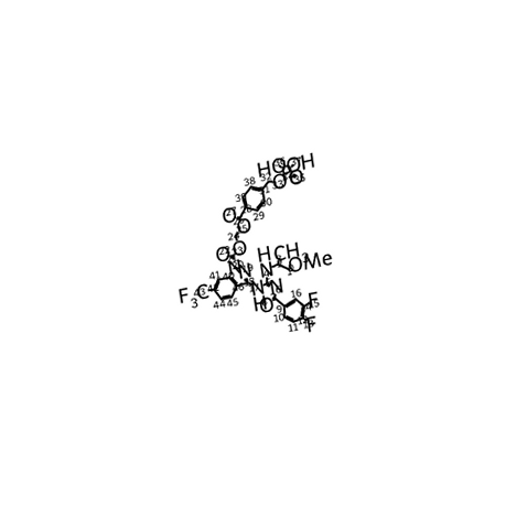 COCC(C)N/C(=N/C(=O)c1ccc(F)c(F)c1)Nc1nn(C(=O)OCOC(=O)c2ccc(COP(=O)(O)O)cc2)c2cc(C(F)(F)F)ccc12